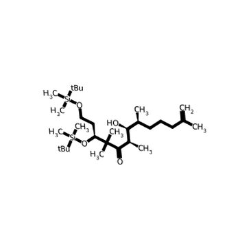 C=C(C)CCC[C@H](C)[C@H](O)[C@@H](C)C(=O)C(C)(C)[C@H](CCO[Si](C)(C)C(C)(C)C)O[Si](C)(C)C(C)(C)C